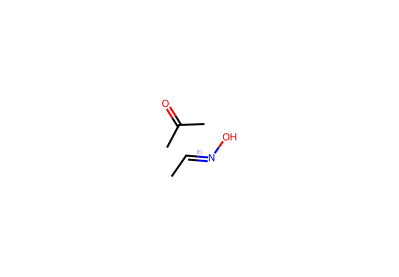 C/C=N/O.CC(C)=O